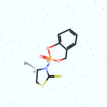 CC(C)[C@H]1CSC(=S)N1[P@]1(=O)OCc2ccccc2O1